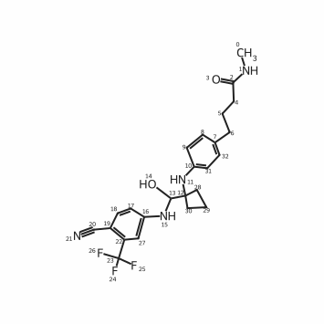 CNC(=O)CCCc1ccc(NC2(C(O)Nc3ccc(C#N)c(C(F)(F)F)c3)CCC2)cc1